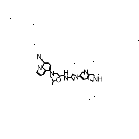 CC1CN(c2ccc(C#N)c3ncccc23)CC(CNC2CN(c3cnc4c(c3)CNC4)C2)O1